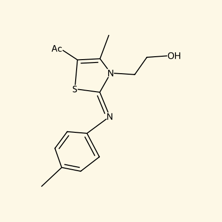 CC(=O)c1s/c(=N\c2ccc(C)cc2)n(CCO)c1C